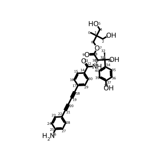 CC(CO)(CO)COC(=O)[C@@H](NC(=O)c1ccc(C#CC#Cc2ccc(N)cc2)cc1)[C@](C)(O)c1ccc(O)cc1